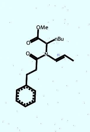 C/C=C/N(C(=O)CCc1ccccc1)C(CCCC)C(=O)OC